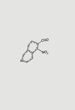 O=Cc1ccc2cnccc2c1[N+](=O)[O-]